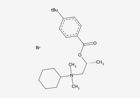 C[C@H](C[N+](C)(C)C1CCCCC1)OC(=O)c1ccc(C(C)(C)C)cc1.[Br-]